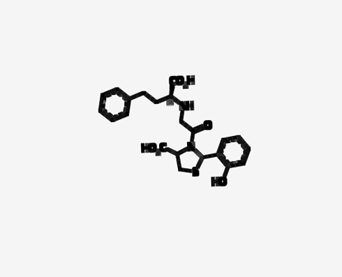 O=C(O)C1CSC(c2ccccc2O)N1C(=O)CN[C@@H](CCc1ccccc1)C(=O)O